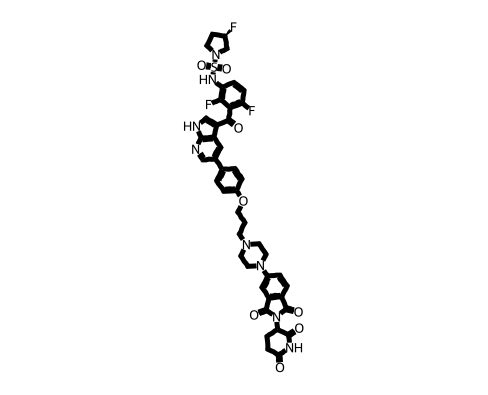 O=C1CCC(N2C(=O)c3ccc(N4CCN(CCCOc5ccc(-c6cnc7[nH]cc(C(=O)c8c(F)ccc(NS(=O)(=O)N9CC[C@@H](F)C9)c8F)c7c6)cc5)CC4)cc3C2=O)C(=O)N1